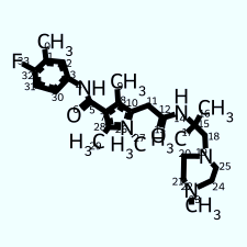 Cc1cc(NC(=O)c2c(C)c(CC(=O)NC(C)(C)CN3CCN(C)CC3)n(C)c2C)ccc1F